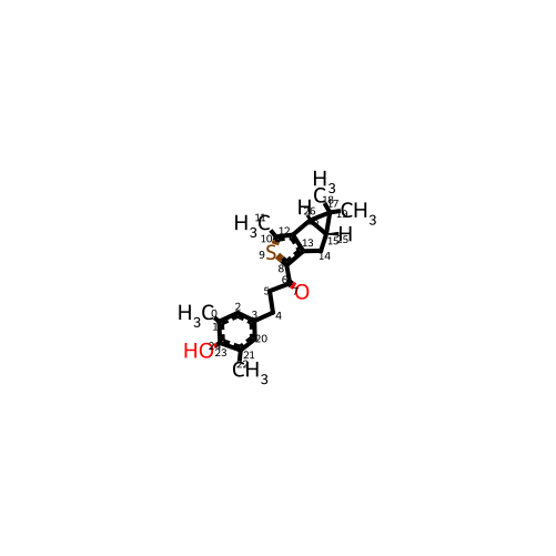 Cc1cc(CCC(=O)c2sc(C)c3c2C[C@@H]2[C@H]3C2(C)C)cc(C)c1O